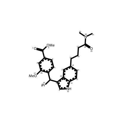 COC(=O)c1ccc(C(c2c[nH]c3ccc(CCCC(=O)N(C)C)cc23)C(C)C)c(OC)c1